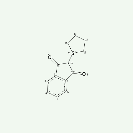 O=C1c2ccccc2C(=O)C1[S+]1CCCC1